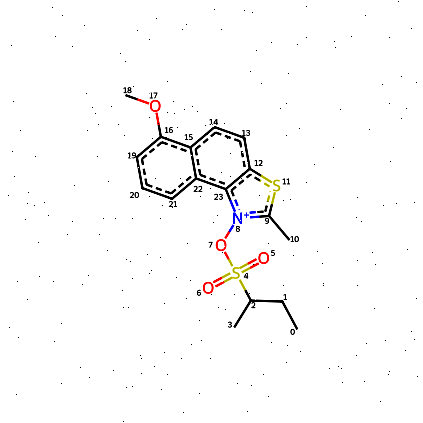 CCC(C)S(=O)(=O)O[n+]1c(C)sc2ccc3c(OC)cccc3c21